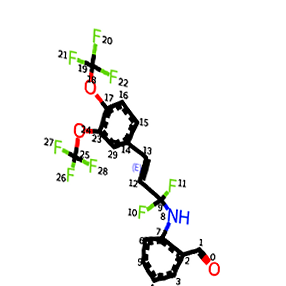 O=Cc1ccccc1NC(F)(F)/C=C/c1ccc(OC(F)(F)F)c(OC(F)(F)F)c1